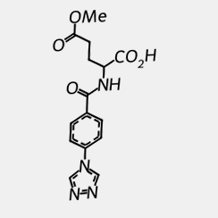 COC(=O)CCC(NC(=O)c1ccc(-n2cnnc2)cc1)C(=O)O